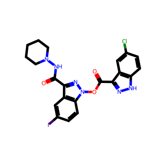 O=C(On1nc(C(=O)NN2CCCCC2)c2cc(I)ccc21)c1n[nH]c2ccc(Cl)cc12